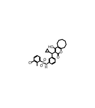 Cc1c(Cl)cccc1S(=O)(=O)Nc1cccc(C(c2c(O)c3c(oc2=O)CCCCCC3)C2CC2)c1